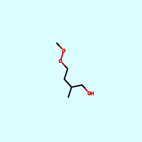 COOCCC(C)CO